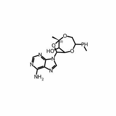 CPC1CO[C@@]2(C)OC(n3cnc4c(N)ncnc43)C(O1)C2O